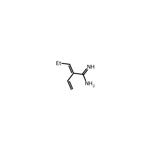 C=C/C(=C\CC)C(=N)N